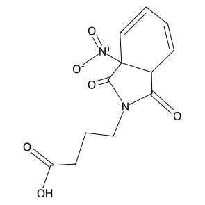 O=C(O)CCCN1C(=O)C2C=CC=CC2([N+](=O)[O-])C1=O